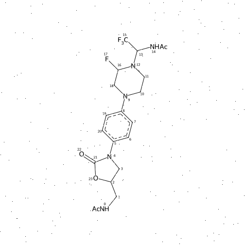 CC(=O)NCC1CN(c2ccc(N3CCN(C(NC(C)=O)C(F)(F)F)C(F)C3)cc2)C(=O)O1